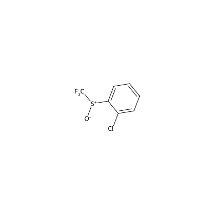 [O-][S+](c1ccccc1Cl)C(F)(F)F